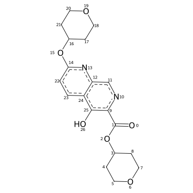 O=C(OC1CCOCC1)c1ncc2nc(OC3CCOCC3)ccc2c1O